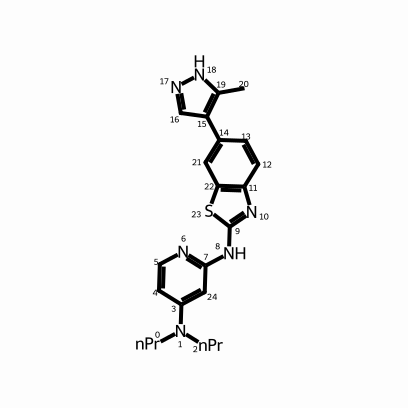 CCCN(CCC)c1ccnc(Nc2nc3ccc(-c4cn[nH]c4C)cc3s2)c1